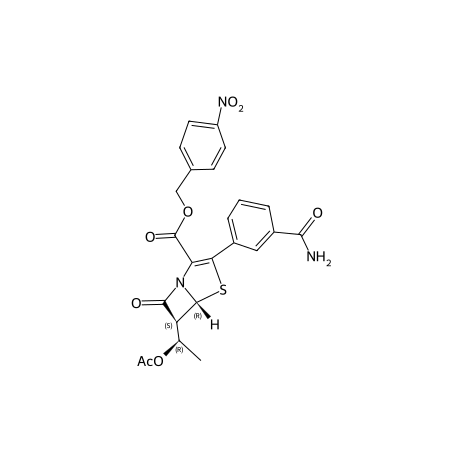 CC(=O)O[C@H](C)[C@H]1C(=O)N2C(C(=O)OCc3ccc([N+](=O)[O-])cc3)=C(c3cccc(C(N)=O)c3)S[C@H]12